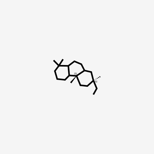 CC[C@@]1(C)CC[C@@]2(C)C(CCC3C2CCCC3(C)C)C1